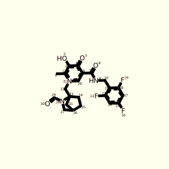 Cc1c(O)c(=O)c(C(=O)NCc2c(F)cc(F)cc2F)cn1CC12CCC(CN1C=O)C2